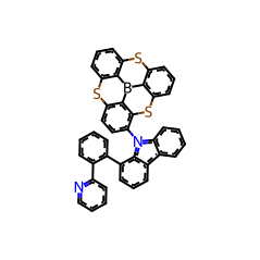 c1ccc(-c2ccccc2-c2cccc3c4ccccc4n(-c4ccc5c6c4Sc4cccc7c4B6c4c(cccc4S5)S7)c23)nc1